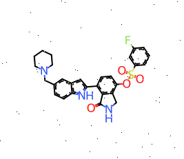 O=C1NCc2c(OS(=O)(=O)c3cccc(F)c3)ccc(-c3cc4cc(CN5CCCCC5)ccc4[nH]3)c21